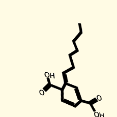 CCCCCCC=C1C=C(C(=O)O)C=CC1C(=O)O